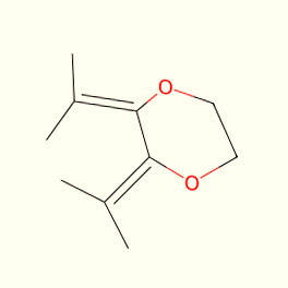 CC(C)=C1OCCOC1=C(C)C